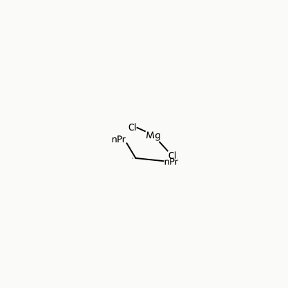 CCC[CH]CCC.[Cl][Mg][Cl]